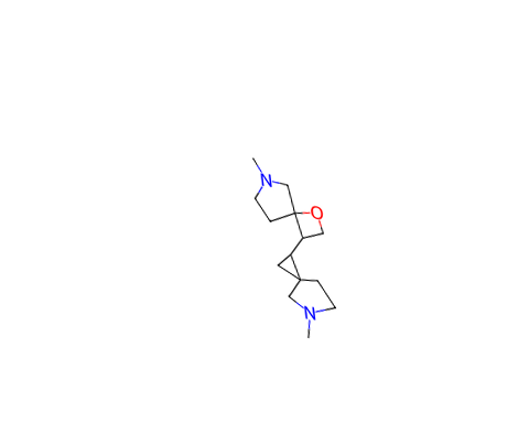 CN1CCC2(CC2C2COC23CCN(C)C3)C1